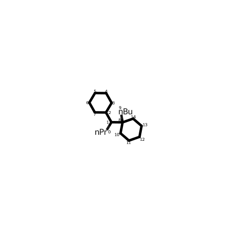 [CH2]CCC(C1CCCCC1)C1(CCCC)CCCCC1